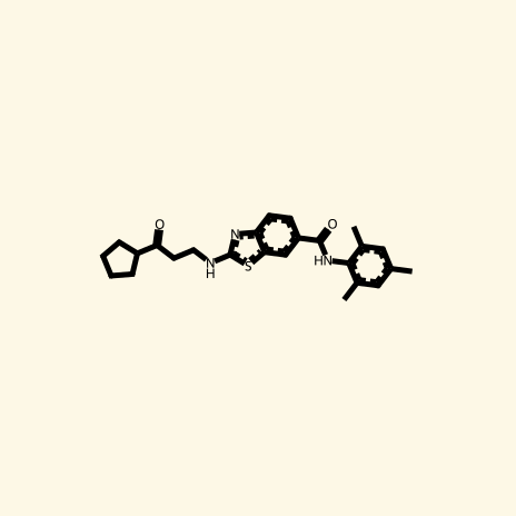 Cc1cc(C)c(NC(=O)c2ccc3nc(NCCC(=O)C4CCCC4)sc3c2)c(C)c1